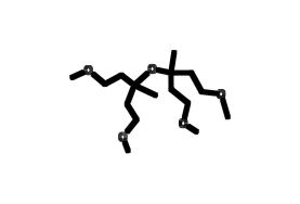 COCCC(C)(CCOC)OC(C)(CCOC)CCOC